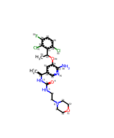 C=C(NC(=O)NCCN1CCOCC1)c1cnc(N)c(OC(C)c2c(Cl)ccc(F)c2Cl)c1